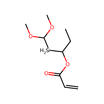 C=CC(=O)OC(CC)[SiH2]C(OC)OC